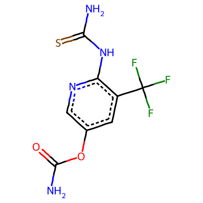 NC(=O)Oc1cnc(NC(N)=S)c(C(F)(F)F)c1